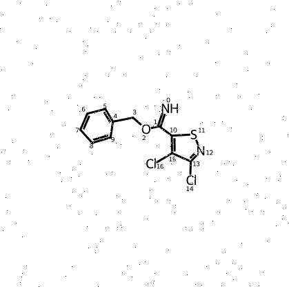 N=C(OCc1ccccc1)c1snc(Cl)c1Cl